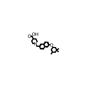 CC1CC(Oc2ccc3cc(CN4CCC(C(=O)O)CC4)ccc3c2)CC(C)(C)C1